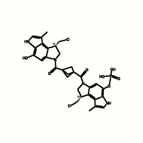 Cc1c[nH]c2c(O)cc3c(c12)[C@H](CCl)CN3C(=O)C12CC(C(=O)N3C[C@@H](CCl)c4c3cc(OP(=O)(O)O)c3[nH]cc(C)c43)(C1)C2